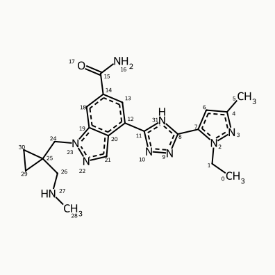 CCn1nc(C)cc1-c1nnc(-c2cc(C(N)=O)cc3c2cnn3CC2(CNC)CC2)[nH]1